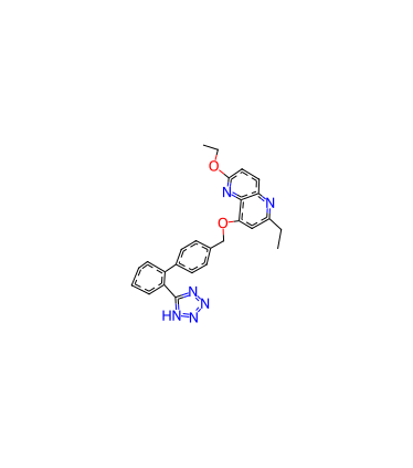 CCOc1ccc2nc(CC)cc(OCc3ccc(-c4ccccc4-c4nnn[nH]4)cc3)c2n1